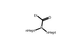 [CH2]CC(=O)N(CCCCCCC)CCCCCCC